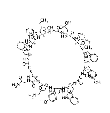 CCCC[C@H]1C(=O)N(C)CC(=O)N[C@@H](CC(=O)O)C(=O)N[C@@H](C(C)C)C(=O)N(C)[C@@H](Cc2ccccc2)C(=O)N[C@@H](Cc2ccc(O)cc2)C(=O)N(C)CC(=O)N[C@@H](Cc2c[nH]c3ccccc23)C(=O)N[C@@H](Cc2ccc(O)cc2)C(=O)N[C@@H](CCCN)C(=O)N[C@H](C(=O)NCC(N)=O)CSCC(=O)N[C@@H](Cc2ccccc2)C(=O)N(C)[C@@H](Cc2ccccc2)C(=O)N1C